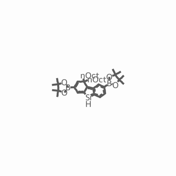 CCCCCCCCC1(CCCCCCCC)C=C(B2OC(C)(C)C(C)(C)O2)C=C2[SiH]=c3ccc(B4OC(C)(C)C(C)(C)O4)cc3=C21